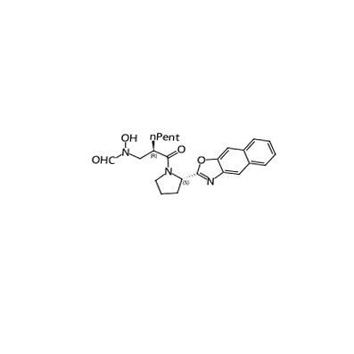 CCCCC[C@H](CN(O)C=O)C(=O)N1CCC[C@H]1c1nc2cc3ccccc3cc2o1